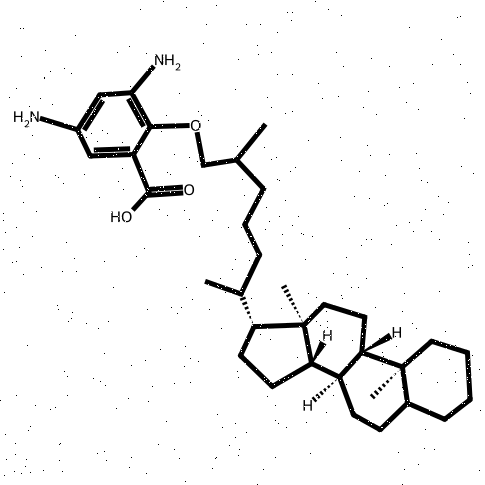 CC(CCCC(C)[C@H]1CC[C@H]2[C@@H]3CCC4CCCC[C@]4(C)[C@H]3CC[C@]12C)COc1c(N)cc(N)cc1C(=O)O